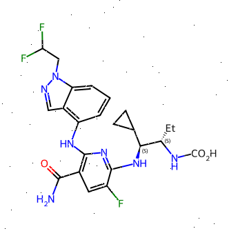 CC[C@H](NC(=O)O)[C@@H](Nc1nc(Nc2cccc3c2cnn3CC(F)F)c(C(N)=O)cc1F)C1CC1